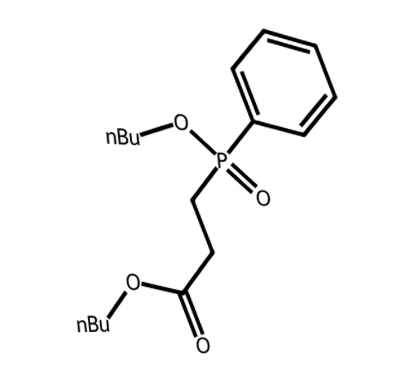 CCCCOC(=O)CCP(=O)(OCCCC)c1ccccc1